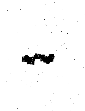 O=C1CCN(c2cncc3cc(C4CCN(C[C@H]5CC[C@H](c6nc7cnc(NC(=O)c8cccc(C(F)(F)F)n8)cc7s6)CC5)CC4)ccc23)C(=O)N1